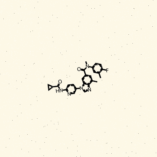 Cc1cc(N(C)C(=O)c2cc(C)c3ncn(-c4ccc(NC(=O)C5CC5)nc4)c3c2)ccc1F